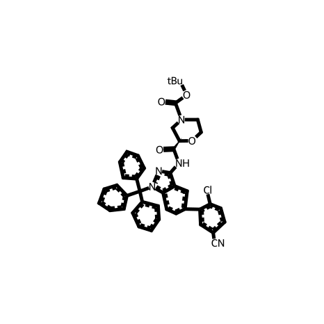 CC(C)(C)OC(=O)N1CCO[C@@H](C(=O)Nc2nn(C(c3ccccc3)(c3ccccc3)c3ccccc3)c3ccc(-c4cc(C#N)ccc4Cl)cc23)C1